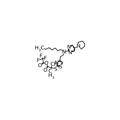 CCCCCCCN(CCc1csc(SC(C)(C)C(=O)OC(=O)C(F)(F)F)n1)c1ncc(N2CCCCC2)cn1